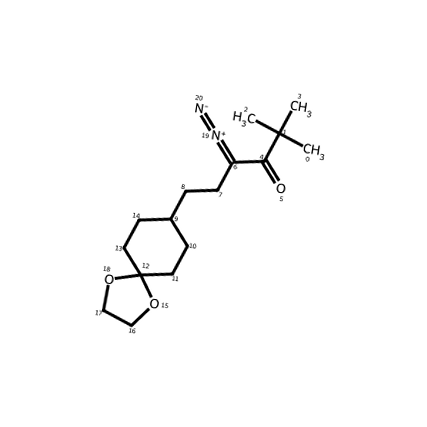 CC(C)(C)C(=O)C(CCC1CCC2(CC1)OCCO2)=[N+]=[N-]